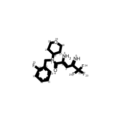 N=C(/C=C(\N)C(=O)N(Cc1ccccc1F)C1CCOCC1)C(F)(F)F